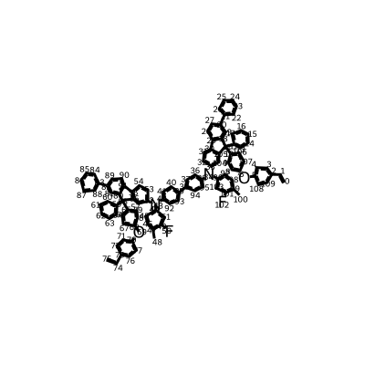 C=Cc1ccc(Oc2ccc(C3(c4ccccc4)c4cc(-c5ccccc5)ccc4-c4ccc(N(c5ccc(-c6ccc(N(c7ccc(C)c(F)c7)c7ccc8c(c7)C(c7ccccc7)(c7ccc(Oc9ccc(C=C)cc9)cc7)c7cc(-c9ccccc9)ccc7-8)cc6)cc5)c5ccc(C)c(F)c5)cc43)cc2)cc1